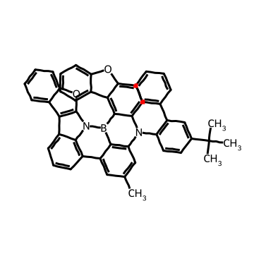 Cc1cc2c3c(c1)N(c1ccc(C(C)(C)C)cc1-c1ccccc1)c1ccc4oc5ccccc5c4c1B3n1c3oc4ccccc4c3c3cccc-2c31